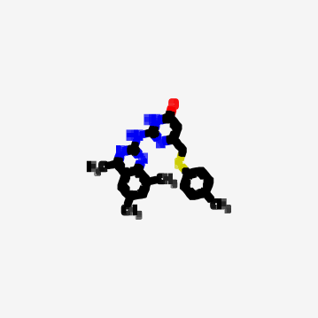 Cc1ccc(SCc2cc(=O)[nH]c(Nc3nc(C)c4cc(C)cc(C)c4n3)n2)cc1